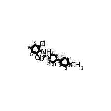 Cc1ccc(C2CCN(C(=O)Nc3c(Cl)cccc3Cl)CC2)cc1